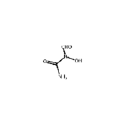 NC(=O)N(O)[C]=O